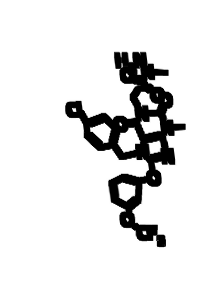 CN(N)S(=O)(=O)Cn1c(=O)c2c(nc(Oc3cccc(OC(F)(F)F)c3)n2Cc2ccc(Cl)cc2)n(C)c1=O